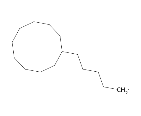 [CH2]CCCCC1CCCCCCCCC1